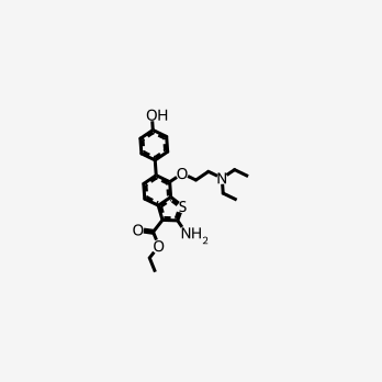 CCOC(=O)c1c(N)sc2c(OCCN(CC)CC)c(-c3ccc(O)cc3)ccc12